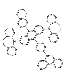 C1=CC2=C(CC1)CCc1ccccc1N2c1ccc2c(-c3ccc(-c4cc5ccccc5c5ccccc45)cc3)c3cc(N4c5ccccc5CCc5ccccc54)ccc3c(-c3ccc4c(c3)CCC=C4)c2c1